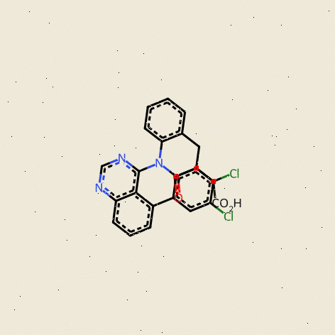 O=C(O)CC1Cc2ccccc2N(c2ncnc3cccc(-c4ccc(Cl)c(Cl)c4)c23)C1=O